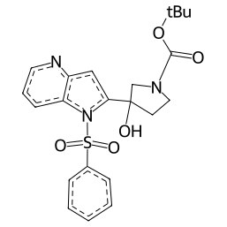 CC(C)(C)OC(=O)N1CCC(O)(c2cc3ncccc3n2S(=O)(=O)c2ccccc2)C1